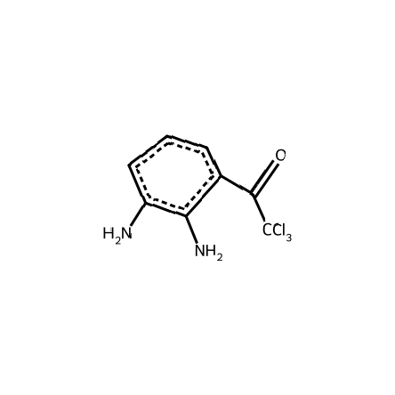 Nc1cccc(C(=O)C(Cl)(Cl)Cl)c1N